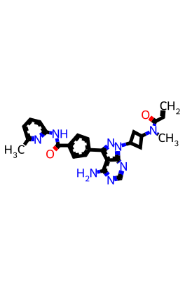 C=CC(=O)N(C)C1CC(n2nc(-c3ccc(C(=O)Nc4cccc(C)n4)cc3)c3c(N)ncnc32)C1